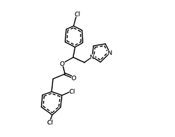 O=C(Cc1ccc(Cl)cc1Cl)OC(Cn1ccnc1)c1ccc(Cl)cc1